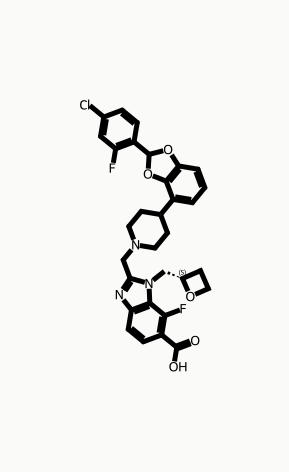 O=C(O)c1ccc2nc(CN3CCC(c4cccc5c4OC(c4ccc(Cl)cc4F)O5)CC3)n(C[C@@H]3CCO3)c2c1F